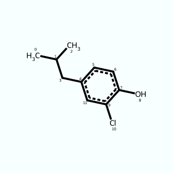 CC(C)Cc1ccc(O)c(Cl)c1